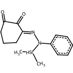 C[SiH](C)N(N=C1CCCC(=O)C1=O)c1ccccc1